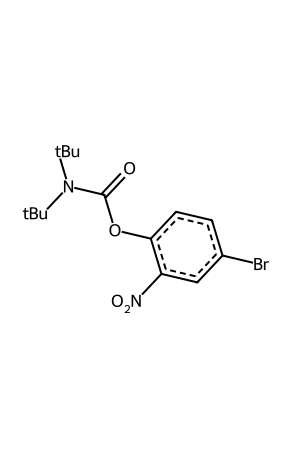 CC(C)(C)N(C(=O)Oc1ccc(Br)cc1[N+](=O)[O-])C(C)(C)C